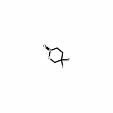 O=S1CCC(F)(F)CO1